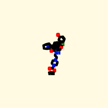 CC(C)(C)OC(=O)N1CCN(CCNC(=O)c2cc(Cl)ccc2C2=CC3CCC(C2)N3CCN2C=COC(C3=CC=CC(=O)C3)=C2)CC1